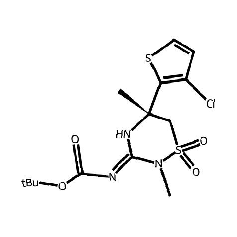 CN1/C(=N/C(=O)OC(C)(C)C)N[C@](C)(c2sccc2Cl)CS1(=O)=O